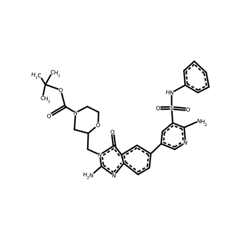 CC(C)(C)OC(=O)N1CCOC(Cn2c(N)nc3ccc(-c4cnc(N)c(S(=O)(=O)Nc5ccccc5)c4)cc3c2=O)C1